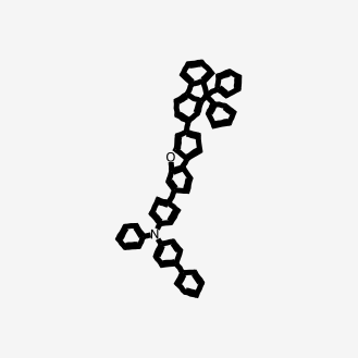 c1ccc(-c2ccc(N(c3ccccc3)c3ccc(-c4ccc5c(c4)oc4cc(-c6ccc7c(c6)C(c6ccccc6)(c6ccccc6)c6ccccc6-7)ccc45)cc3)cc2)cc1